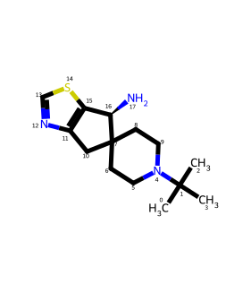 CC(C)(C)N1CCC2(CC1)Cc1ncsc1[C@H]2N